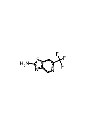 Nc1nc2cnc(C(F)(F)F)cc2s1